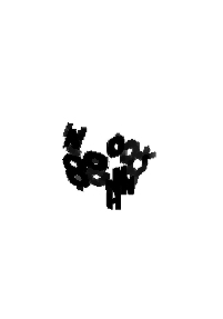 CCN(CC)CCOc1c(OC)cc(Nc2ncc3c(n2)-c2cc(OC)ccc2C(C)(C)C3)cc1OC